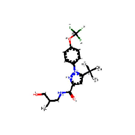 CC(CO)CNC(=O)c1cc(C(C)(C)C)n(-c2ccc(OC(F)(F)F)cc2)n1